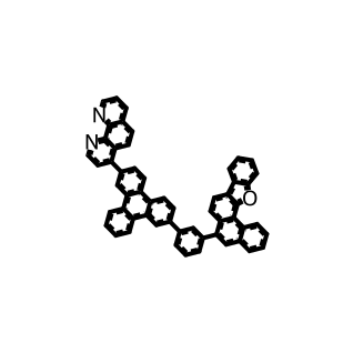 c1cc(-c2ccc3c4ccc(-c5ccnc6c5ccc5cccnc56)cc4c4ccccc4c3c2)cc(-c2cc3ccccc3c3c2ccc2c4ccccc4oc23)c1